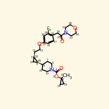 CC1(OC(=O)N2CCC([C@H]3C[C@H]3CCOc3ccc(CC(=O)N4CCOCC4)c(F)c3)CC2)CC1